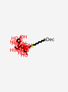 CCCCCCCCCCCCCCCCCCSCCO[C@H]1O[C@H](CO)[C@@H](O)[C@H](O)[C@]1(O)[C@]1(O)[C@@H](CO)OC[C@@](O)([C@]2(O)[C@@H](C(O)[C@@]3(O)CO[C@H](CO)[C@@H](O)[C@@H]3O)OC[C@H](O)[C@H]2O)[C@H]1O